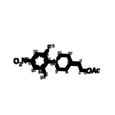 CC(=O)OCC=C1CCN(c2c(F)cc([N+](=O)[O-])cc2F)CC1